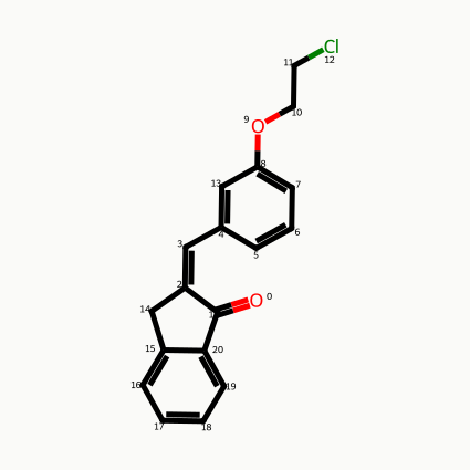 O=C1C(=Cc2cccc(OCCCl)c2)Cc2ccccc21